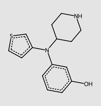 Oc1cccc(N(c2ccsc2)C2CCNCC2)c1